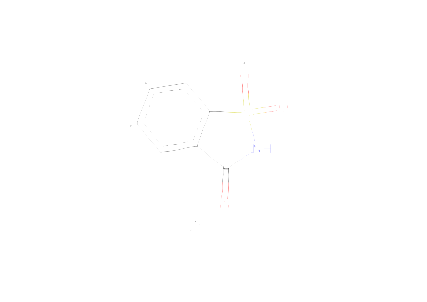 O=C1NS(=O)(=O)c2ccccc21.[Zn]